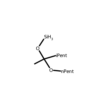 CCCCCOC(C)(O[SiH3])C(C)CCC